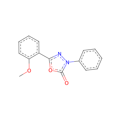 COc1ccccc1-c1nn(-c2ccccc2)c(=O)o1